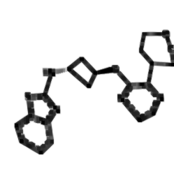 c1ccc2sc(N[C@H]3C[C@H](Oc4nccnc4C4CCOCC4)C3)nc2c1